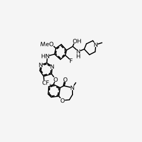 COc1cc(C(O)NC2CCN(C)CC2)c(F)cc1Nc1ncc(C(F)(F)F)c(Oc2cccc3c2C(=O)N(C)CCO3)n1